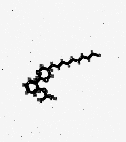 CCCCCCCCCCC1COC(c2ccccc2OC(F)F)OC1